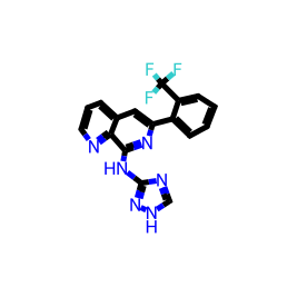 FC(F)(F)c1ccccc1-c1cc2cccnc2c(Nc2nc[nH]n2)n1